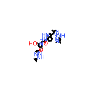 Cc1cnc(Nc2cc(C)n(C)n2)nc1-c1c[nH]c2c(NC(=O)CN3C[C@@H](Oc4ccnc(NC5CC5)n4)C[C@H]3CO)cccc12